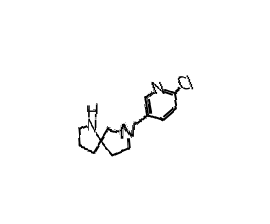 Clc1ccc(N2CCC3(CCCN3)C2)cn1